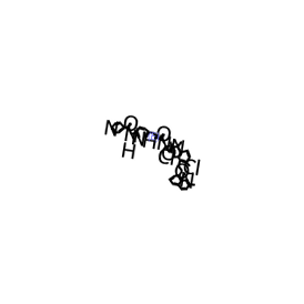 Cc1ccc2cccc(OCc3c(Cl)ccc(N(C)C(=O)CNC(=O)/C=C/c4ccc(NC(=O)c5ccncc5)nc4)c3Cl)c2n1